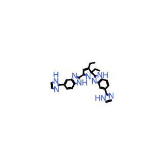 CCC1=CC(c2nc3cc(-c4ncc[nH]4)ccc3[nH]2)=NC1(CC)c1nc2cc(-c3ncc[nH]3)ccc2[nH]1